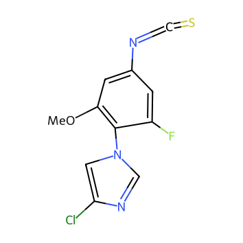 COc1cc(N=C=S)cc(F)c1-n1cnc(Cl)c1